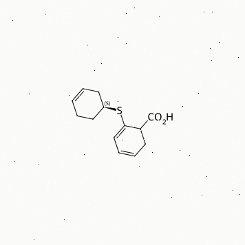 O=C(O)C1CC=CC=C1S[C@@H]1CC=CCC1